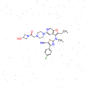 CCc1oc2cnc(N3CCN(CC(=O)N4CC(O)C4)CC3)cc2c1N(C)c1nc(-c2ccc(F)cc2)c(C#N)s1